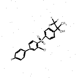 CC(O)(c1ccc(S(=O)(=O)c2ccc(-c3ccc(F)cc3)cc2Cl)cc1)C(F)(F)F